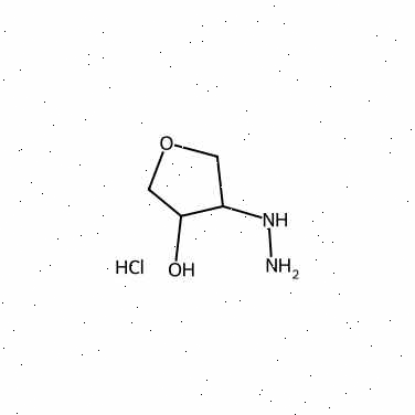 Cl.NNC1COCC1O